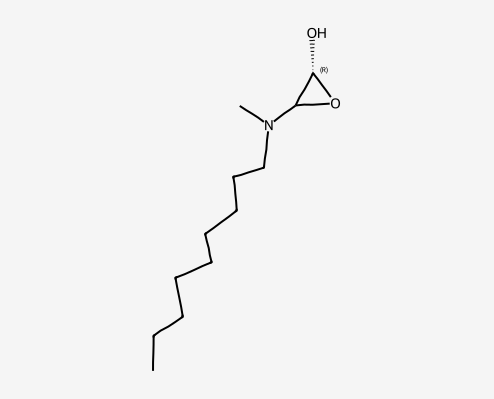 CCCCCCCCCN(C)C1O[C@H]1O